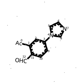 CC(=O)c1cc(-n2ccnc2)ccc1C=O